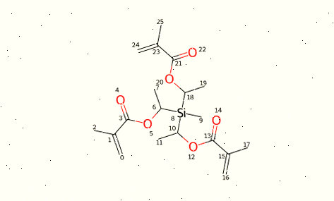 C=C(C)C(=O)OC(C)[Si](C)(C(C)OC(=O)C(=C)C)C(C)OC(=O)C(=C)C